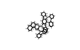 c1ccc2c(c1)-c1ccccc1-n1c3ccccc3c3cc4c(c-2c31)c1ccccc1n4-c1nc2ccc3ccccc3c2nc1-n1c2ccccc2c2ccccc21